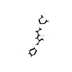 Cc1cc(NC(=O)c2c(C)c(C(=O)C(=O)Nc3cc(F)[nH]c(=O)c3)n(C)c2C)ccc1F